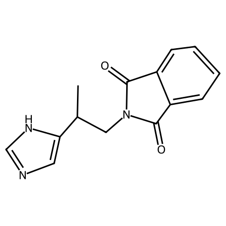 CC(CN1C(=O)c2ccccc2C1=O)c1cnc[nH]1